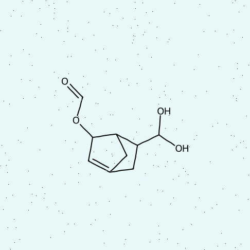 O=COC1C=C2CC(C(O)O)C1C2